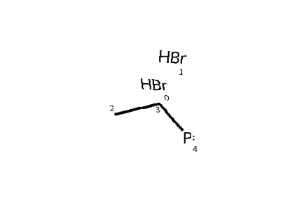 Br.Br.CC[P]